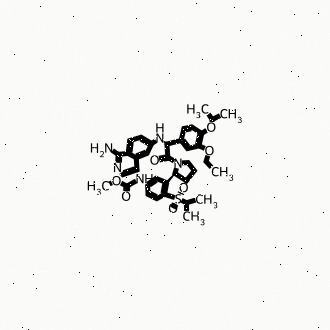 CCOc1cc([C@@H](Nc2ccc3c(N)nccc3c2)C(=O)N2CCC[C@H]2c2cc(NC(=O)OC)ccc2S(=O)(=O)C(C)C)ccc1OC(C)C